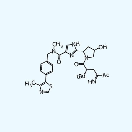 CC(=O)C(=N)C[C@H](C(=O)N1C[C@H](O)C[C@H]1c1nc(C(=O)N(C)Cc2ccc(-c3scnc3C)cc2)c[nH]1)C(C)(C)C